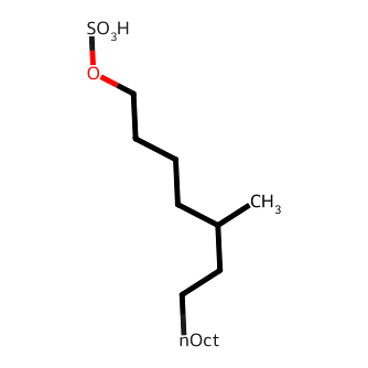 CCCCCCCCCCC(C)CCCCOS(=O)(=O)O